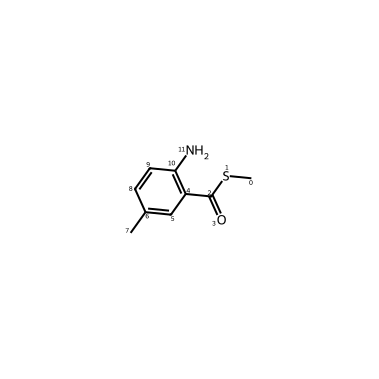 CSC(=O)c1cc(C)ccc1N